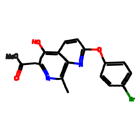 COC(=O)c1nc(C)c2nc(Oc3ccc(Br)cc3)ccc2c1O